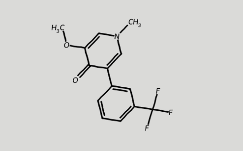 COc1cn(C)cc(-c2cccc(C(F)(F)F)c2)c1=O